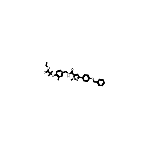 CCOC(=O)C(C)(C)Oc1ccc(CNC(=O)c2cc(-c3ccc(OCc4ccccc4)cc3)nn2C)cc1C